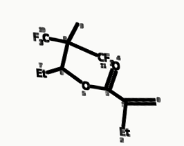 C=C(CC)C(=O)OC(CC)C(C)(C(F)(F)F)C(F)(F)F